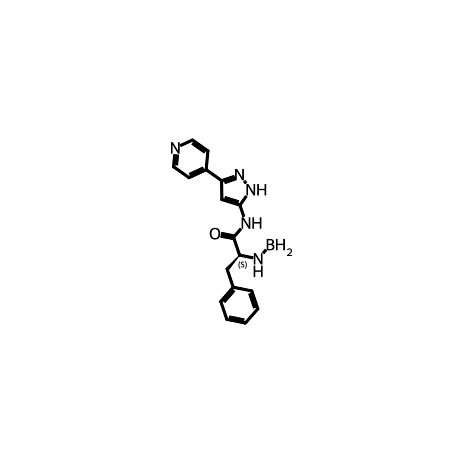 BN[C@@H](Cc1ccccc1)C(=O)Nc1cc(-c2ccncc2)n[nH]1